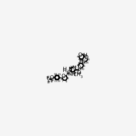 C=C(NC[C@H]1CCC[C@@H](c2ccc(OC(F)(F)F)cc2)O1)/C(C)=C(\N=C/N)C(=O)N1CCC(N2CCO[C@H]3COCC[C@H]32)CC1